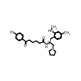 CCc1ccc(C(=O)CCCCC(=O)N[C@@H](Cc2ccc(C)cc2PC)CN2CCCC2)cc1